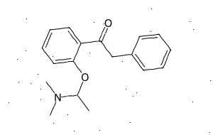 CC(Oc1ccccc1C(=O)Cc1ccccc1)N(C)C